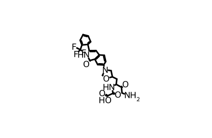 NCC(=O)C(CC1CN(c2ccc3cc(-c4ccccc4C(F)(F)F)[nH]c(=O)c3c2)CO1)NC(=O)C(=O)O